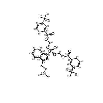 CN(C)CCc1cn(P(=O)(OCOC(=O)C2=CN(C(C)(C)C)C=CC2)OCOC(=O)C2=CN(C(C)(C)C)C=CC2)c2ccccc12